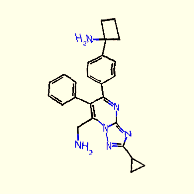 NCc1c(-c2ccccc2)c(-c2ccc(C3(N)CCC3)cc2)nc2nc(C3CC3)nn12